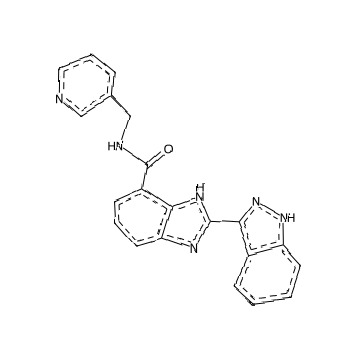 O=C(NCc1cccnc1)c1cccc2nc(-c3n[nH]c4ccccc34)[nH]c12